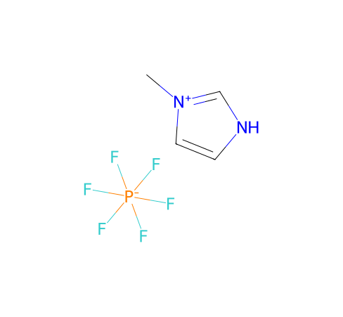 C[n+]1cc[nH]c1.F[P-](F)(F)(F)(F)F